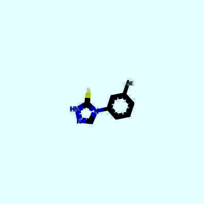 CC(=O)c1cccc(-n2cn[nH]c2=S)c1